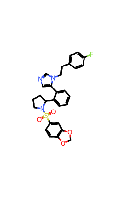 O=S(=O)(c1ccc2c(c1)OCO2)N1CCCC1c1ccccc1-c1cncn1CCc1ccc(F)cc1